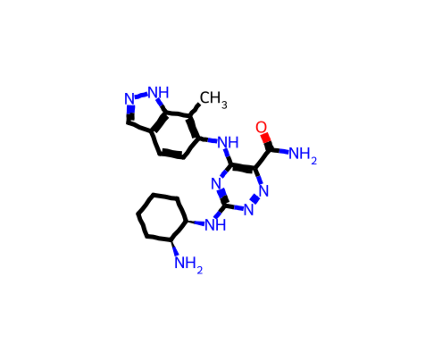 Cc1c(Nc2nc(N[C@@H]3CCCC[C@@H]3N)nnc2C(N)=O)ccc2cn[nH]c12